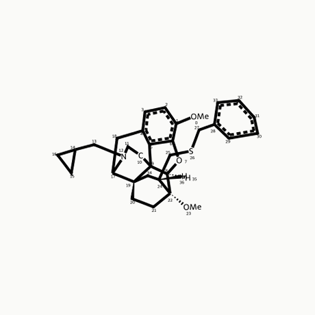 COc1ccc2c3c1O[C@@H]1C34CCN(CC3CC3)C(C2)[C@]42CC[C@@]1(OC)[C@@H](CSCc1ccccc1)C2